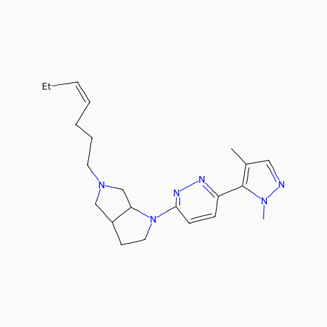 CC/C=C\CCCN1CC2CCN(c3ccc(-c4c(C)cnn4C)nn3)C2C1